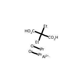 CC(C)[O-].CC(C)[O-].CCC(CC)(C(=O)O)C(=O)O.[Al+2]